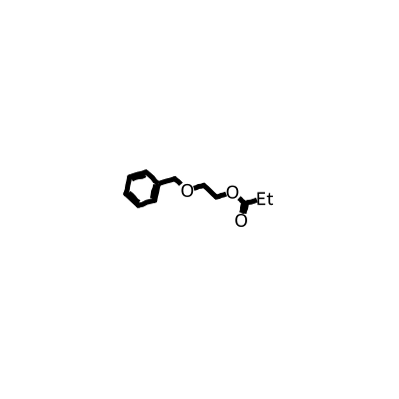 CCC(=O)OCCOCc1ccccc1